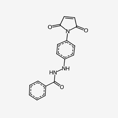 O=C(NNc1ccc(N2C(=O)C=CC2=O)cc1)c1ccccc1